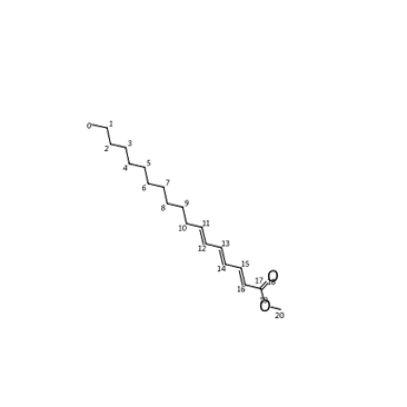 CCCCCCCCCCCC=CC=CC=CC(=O)OC